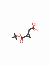 CC(C)(C)OC(=O)C1CC1CC(=O)O